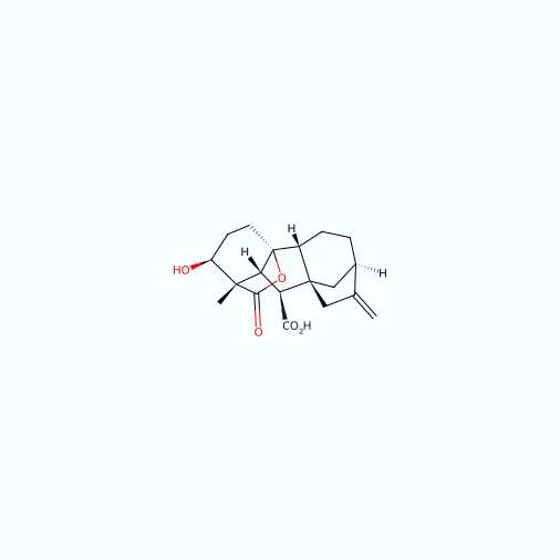 C=C1C[C@]23C[C@H]1CC[C@H]2[C@@]12CC[C@H](O)[C@@](C)(C(=O)O1)[C@H]2[C@@H]3C(=O)O